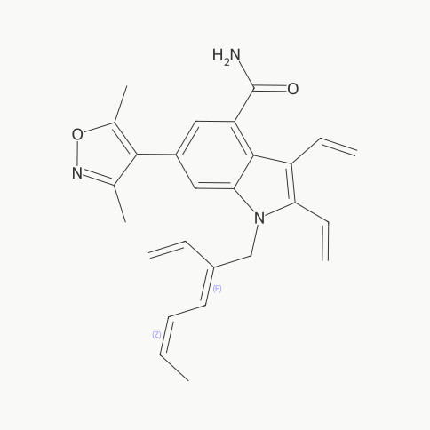 C=C/C(=C\C=C/C)Cn1c(C=C)c(C=C)c2c(C(N)=O)cc(-c3c(C)noc3C)cc21